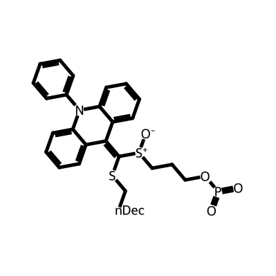 CCCCCCCCCCCSC(=C1c2ccccc2N(c2ccccc2)c2ccccc21)[S+]([O-])CCCOP(=O)=O